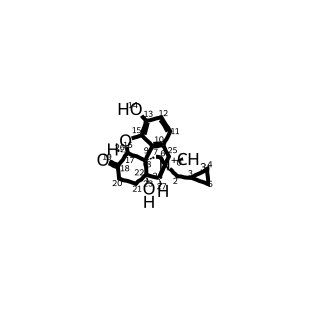 C[N@+]1(CC2CC2)CC[C@@]23c4c5ccc(O)c4O[C@@H]2C(=O)CC[C@]3(O)[C@@H]1C5